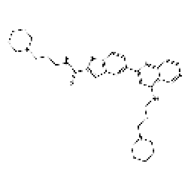 O=C(NCCCN1CCCCC1)c1cc2cc(-c3cc(NCCCN4CCCCC4)c4cnccc4n3)ccc2s1